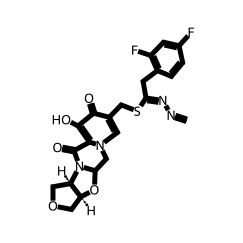 C=N/N=C(/Cc1ccc(F)cc1F)SCc1cn2c(c(O)c1=O)C(=O)N1C(C2)O[C@H]2COC[C@H]21